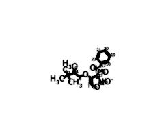 CC(C)(C)C(=O)COc1no[n+]([O-])c1S(=O)(=O)c1ccccc1